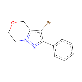 Brc1c(-c2ccccc2)nn2c1COCC2